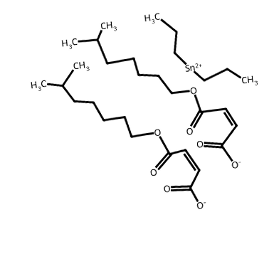 CC(C)CCCCCOC(=O)/C=C\C(=O)[O-].CC(C)CCCCCOC(=O)/C=C\C(=O)[O-].CC[CH2][Sn+2][CH2]CC